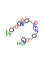 Cc1cc(C=CC(=O)N2CCN(Cc3ccc(CCOc4ccccn4)cc3)CC2)cc(Cl)c1Oc1ccc(OCc2ccc(C(F)(F)F)cc2)cn1.Cl